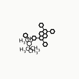 CC(C)(C)C1CCC2(C)C(C1)c1cc(-c3cc(-c4ccccc4)c4ccc5c(-c6ccccc6)cc(-c6ccccc6)c6ccc3c4c56)ccc1N2c1ccccc1